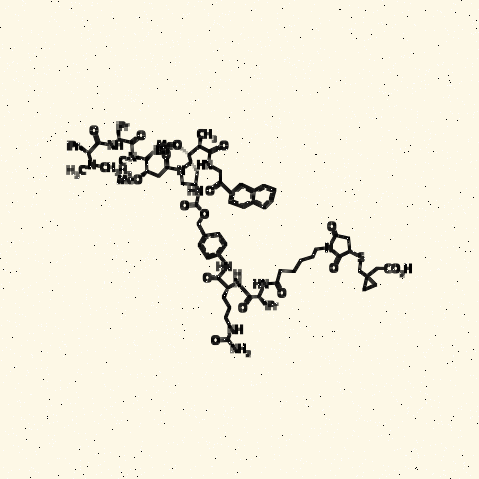 CC[C@H](C)[C@@H]([C@@H](CC(=O)N1C[C@@H](NC(=O)OCc2ccc(NC(=O)[C@H](CCCNC(N)=O)NC(=O)[C@@H](NC(=O)CCCCCN3C(=O)CC(SCC4(CC(=O)O)CC4)C3=O)C(C)C)cc2)C[C@H]1[C@H](OC)[C@@H](C)C(=O)NCC(=O)c1ccc2ccccc2c1)OC)N(C)C(=O)[C@@H](NC(=O)[C@H](C(C)C)N(C)C)C(C)C